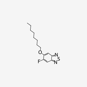 CCCCCCCCOc1cc2nsnc2cc1F